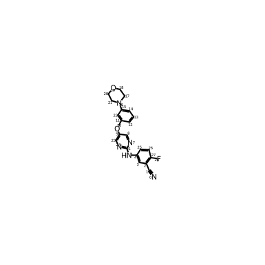 N#Cc1cc(Nc2ncc(Oc3cccc(N4CCOCC4)c3)cn2)ccc1F